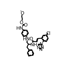 COCCOC(=O)Nc1ccc(NCC(Cc2ccccc2)NC(=O)C=Cc2cc(Cl)ccc2-n2cnnn2)cc1